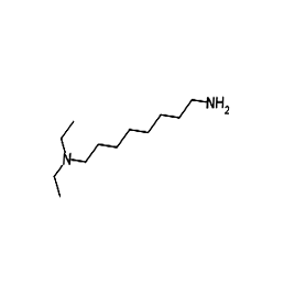 CCN(CC)CCCCCCCCN